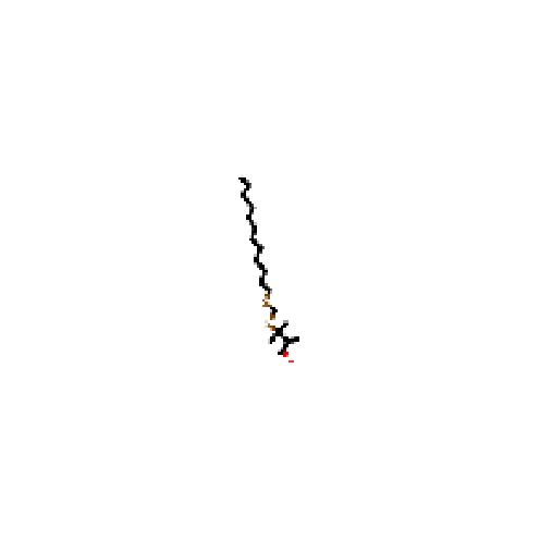 CCCCCCCCCCCCSCSC(C)(C)C(C)C=O